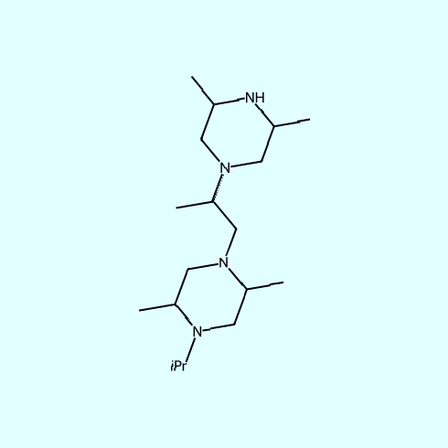 CC1CN(C(C)CN2CC(C)N(C(C)C)CC2C)CC(C)N1